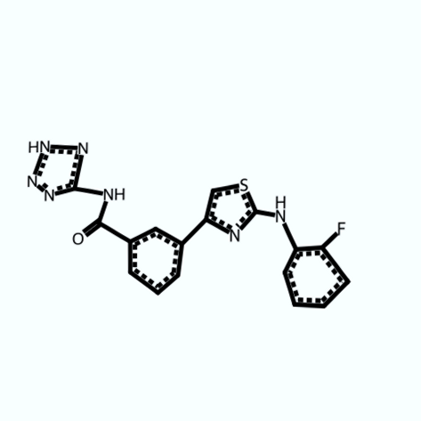 O=C(Nc1nn[nH]n1)c1cccc(-c2csc(Nc3ccccc3F)n2)c1